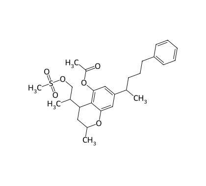 CC(=O)Oc1cc(C(C)CCCc2ccccc2)cc2c1C(C(C)COS(C)(=O)=O)CC(C)O2